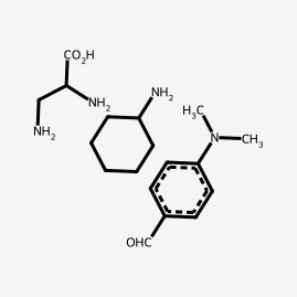 CN(C)c1ccc(C=O)cc1.NC1CCCCC1.NCC(N)C(=O)O